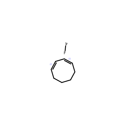 C1=C\CCCC\C=C/1.[F][Ir]